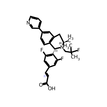 C[C@@H]1Cc2cc(-c3cccnc3)ccc2[C@@H](c2c(F)cc(/C=C/C(=O)O)cc2F)N1CC(C)(C)F